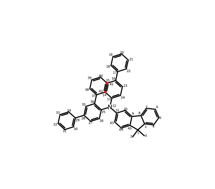 CC1(C)c2ccccc2-c2cc(N(c3ccc(-c4ccccc4)cc3)c3ccc(-c4ccccc4)cc3-c3ccccc3)ccc21